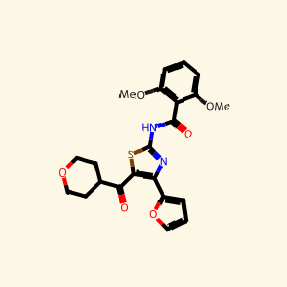 COc1cccc(OC)c1C(=O)Nc1nc(-c2ccco2)c(C(=O)C2CCOCC2)s1